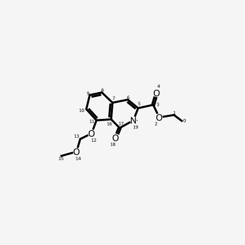 CCOC(=O)C1=Cc2cccc(OCOC)c2C(=O)[N]1